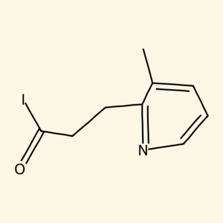 Cc1cccnc1CCC(=O)I